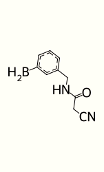 Bc1cccc(CNC(=O)CC#N)c1